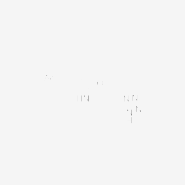 CC(=O)c1cccc(C(=O)Nc2cccc(-c3nnn[nH]3)c2)c1